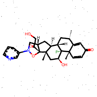 C[C@H]1C[C@H]2[C@@H]3C[C@H]4CN(c5cccnc5)O[C@@]4(C(=O)CO)[C@@]3(C)C[C@H](O)[C@]2(F)[C@@]2(C)C=CC(=O)C=C12